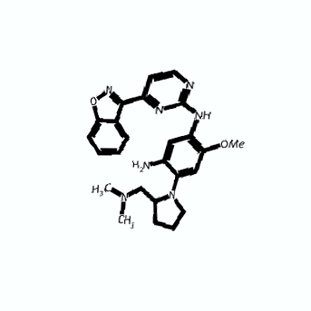 COc1cc(N2CCCC2CN(C)C)c(N)cc1Nc1nccc(-c2noc3ccccc23)n1